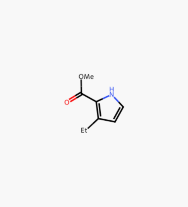 CCc1cc[nH]c1C(=O)OC